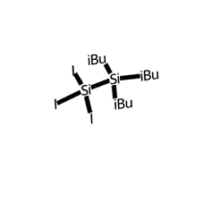 CCC(C)[Si](C(C)CC)(C(C)CC)[Si](I)(I)I